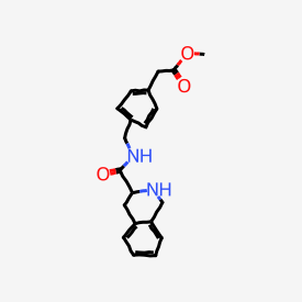 COC(=O)Cc1ccc(CNC(=O)C2Cc3ccccc3CN2)cc1